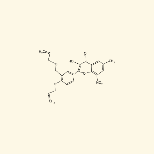 C=CCOCc1cc(-c2oc3c([N+](=O)[O-])cc(C)cc3c(=O)c2O)ccc1OCC=C